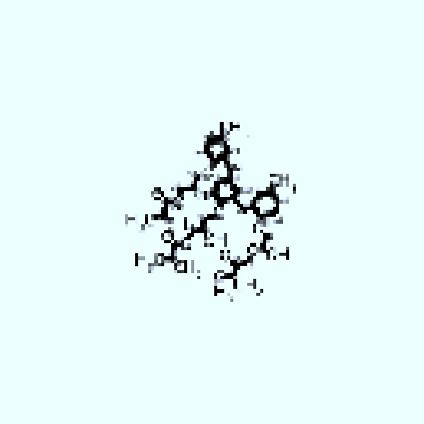 C=C(C)C(=O)COC(O)COc1ccc(C)cc1Cc1cc(Cc2cc(C)ccc2OCC(O)COC(=O)C(=C)C)ccc1OCC(O)COC(=O)C(=C)C